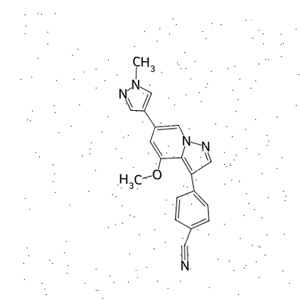 COc1cc(-c2cnn(C)c2)cn2ncc(-c3ccc(C#N)cc3)c12